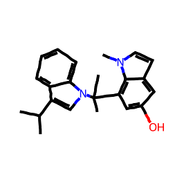 CC(C)c1cn(C(C)(C)c2cc(O)cc3ccn(C)c23)c2ccccc12